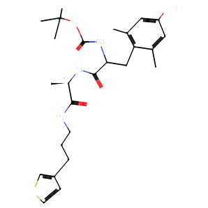 Cc1cc(O)cc(C)c1CC(NC(=O)OC(C)(C)C)C(=O)N[C@H](C)C(=O)NCCCc1ccsc1